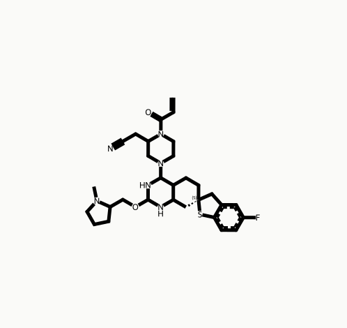 C=CC(=O)N1CCN(C2NC(OCC3CCCN3C)NC3C[C@]4(CCC32)Cc2cc(F)ccc2S4)CC1CC#N